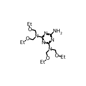 CCOCN(COCC)c1nc(N)nc(N(COCC)COCC)n1